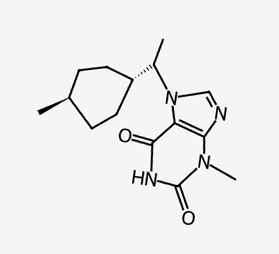 CC([C@H]1CC[C@H](C)CC1)n1cnc2c1c(=O)[nH]c(=O)n2C